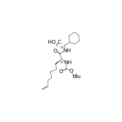 C=CCCCCC[C@H](NC(=O)OC(C)(C)C)C(=O)N[C@H](C(=O)O)C1CCCCC1